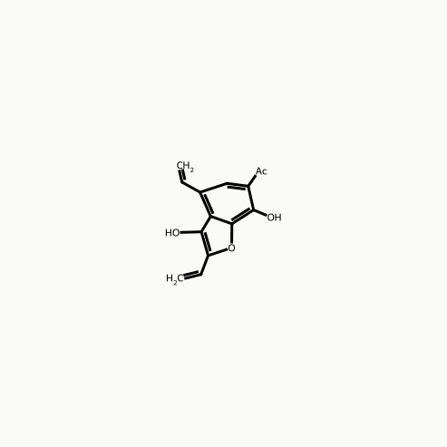 C=Cc1oc2c(O)c(C(C)=O)cc(C=C)c2c1O